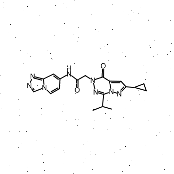 CC(C)c1nn(CC(=O)Nc2ccn3cnnc3c2)c(=O)c2cc(C3CC3)nn12